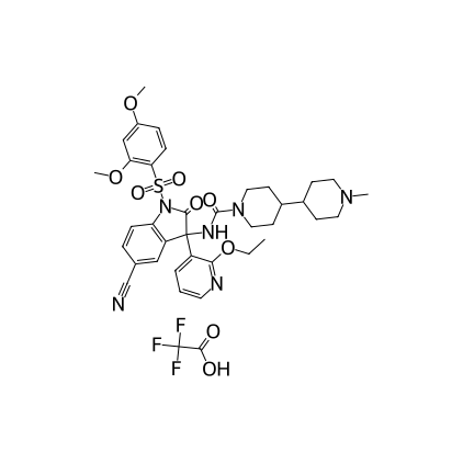 CCOc1ncccc1C1(NC(=O)N2CCC(C3CCN(C)CC3)CC2)C(=O)N(S(=O)(=O)c2ccc(OC)cc2OC)c2ccc(C#N)cc21.O=C(O)C(F)(F)F